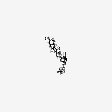 O=C(N[C@H]1CC[C@H](c2nnc(OCCOC(F)(F)F)o2)NC1)c1cc2ccc(Cl)cc2cn1